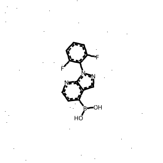 OB(O)c1ccnc2c1cnn2-c1c(F)cccc1F